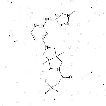 Cn1cc(Nc2nccc(N3CC4(C)CN(C(=O)C5CC5(F)F)CC4(C)C3)n2)cn1